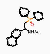 CC(=O)NC(CP(=O)(c1ccccc1)c1ccccc1)c1ccc2ccccc2c1